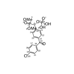 COP(=O)(OC)C(OP(=O)(O)O)c1ccc(C(=O)c2ccc(Cl)cc2)cc1